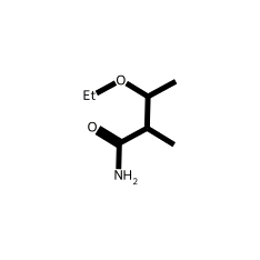 CCOC(C)C(C)C(N)=O